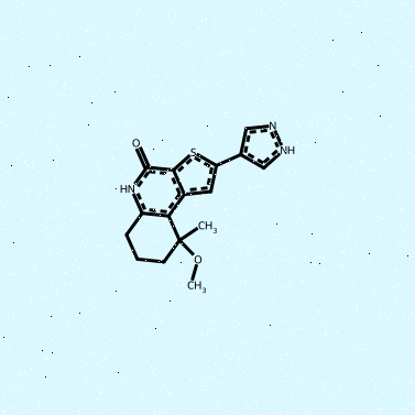 COC1(C)CCCc2[nH]c(=O)c3sc(-c4cn[nH]c4)cc3c21